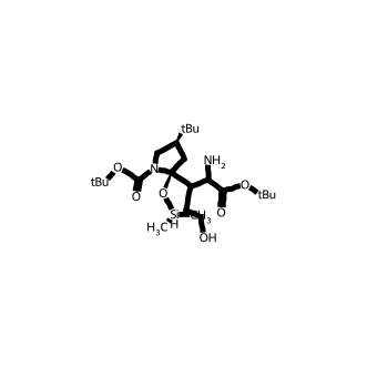 C[SiH](C)O[C@]1(C(CCO)C(N)C(=O)OC(C)(C)C)C[C@H](C(C)(C)C)CN1C(=O)OC(C)(C)C